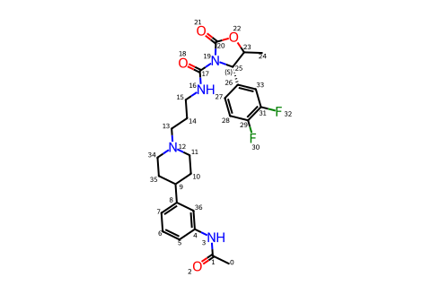 CC(=O)Nc1cccc(C2CCN(CCCNC(=O)N3C(=O)OC(C)[C@@H]3c3ccc(F)c(F)c3)CC2)c1